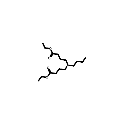 CCCCN(CCCC(=O)OCC)CCCC(=O)OCC